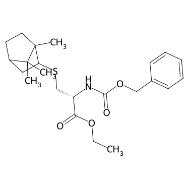 CCOC(=O)[C@H](CSC1CC2CCC1(C)C2(C)C)NC(=O)OCc1ccccc1